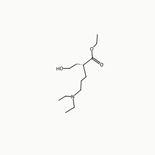 CCOC(=O)[C@@H](CCO)CCCN(CC)CC